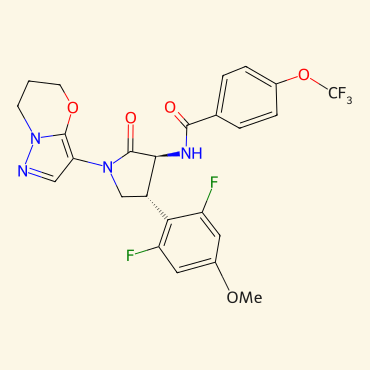 COc1cc(F)c([C@@H]2CN(c3cnn4c3OCCC4)C(=O)[C@H]2NC(=O)c2ccc(OC(F)(F)F)cc2)c(F)c1